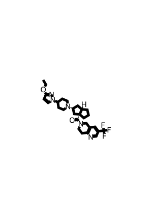 CCOc1ccn(C2CCN([C@@H]3C[C@H]4CCC[C@@]4(C(=O)N4CCc5ncc(C(F)(F)F)cc5C4)C3)CC2)n1